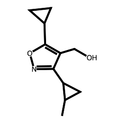 CC1CC1c1noc(C2CC2)c1CO